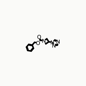 O=C(OCc1ccccc1)N1CC(n2cncn2)C1